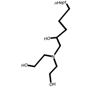 CCCCCCCCCCC(O)CN(CCO)CCO